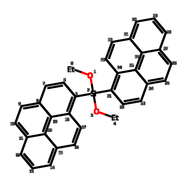 CCO[Si](OCC)(c1ccc2ccc3cccc4ccc1c2c34)c1ccc2ccc3cccc4ccc1c2c34